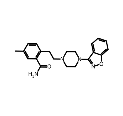 Cc1ccc(CCN2CCN(c3noc4ccccc34)CC2)c(C(N)=O)c1